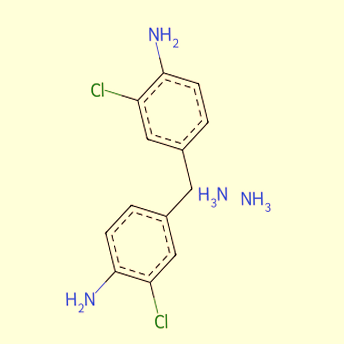 N.N.Nc1ccc(Cc2ccc(N)c(Cl)c2)cc1Cl